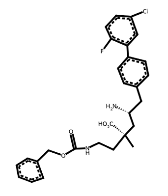 C[C@@](CCNC(=O)OCc1ccccc1)(C[C@H](N)Cc1ccc(-c2cc(Cl)ccc2F)cc1)C(=O)O